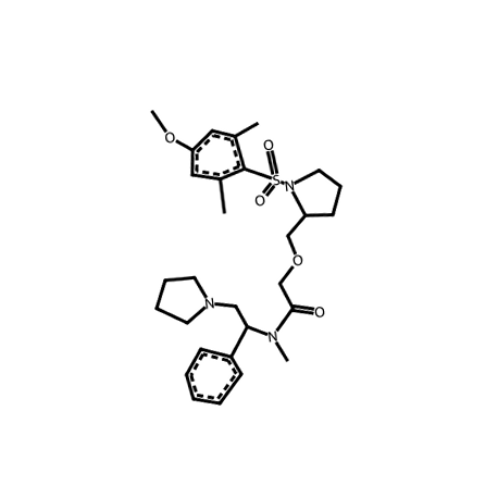 COc1cc(C)c(S(=O)(=O)N2CCCC2COCC(=O)N(C)C(CN2CCCC2)c2ccccc2)c(C)c1